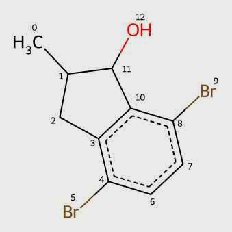 CC1Cc2c(Br)ccc(Br)c2C1O